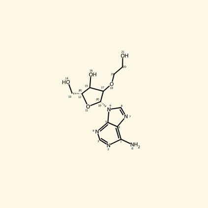 Nc1ncnc2c1ncn2[C@@H]1O[C@H](CO)C(O)C1OCCO